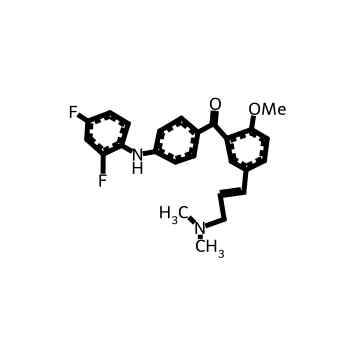 COc1ccc(/C=C/CN(C)C)cc1C(=O)c1ccc(Nc2ccc(F)cc2F)cc1